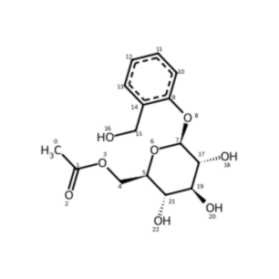 CC(=O)OC[C@H]1O[C@@H](Oc2ccccc2CO)[C@H](O)[C@@H](O)[C@@H]1O